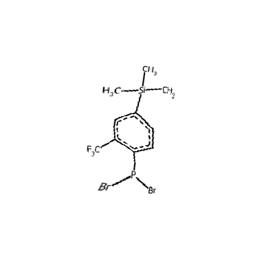 C[Si](C)(C)c1ccc(P(Br)Br)c(C(F)(F)F)c1